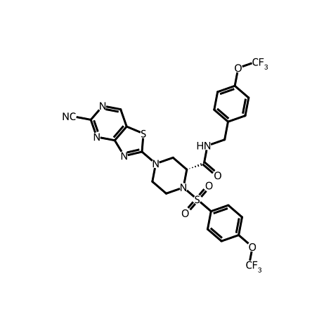 N#Cc1ncc2sc(N3CCN(S(=O)(=O)c4ccc(OC(F)(F)F)cc4)[C@@H](C(=O)NCc4ccc(OC(F)(F)F)cc4)C3)nc2n1